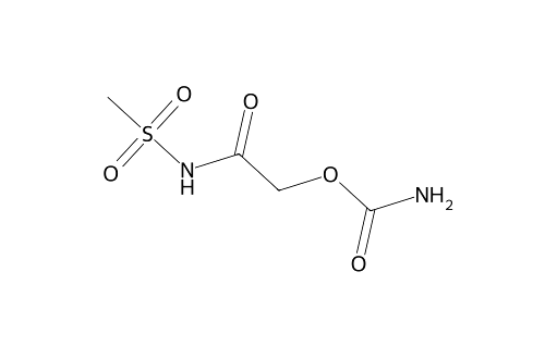 CS(=O)(=O)NC(=O)COC(N)=O